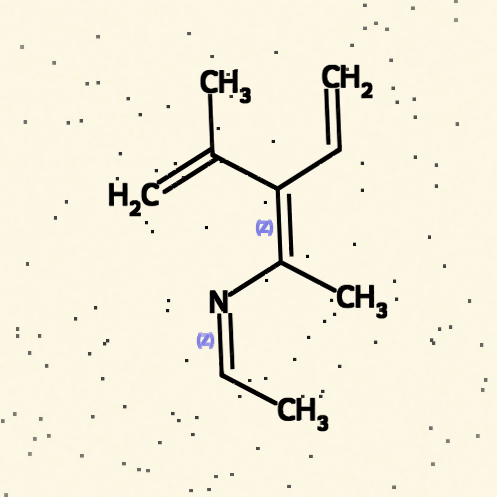 C=C/C(C(=C)C)=C(C)/N=C\C